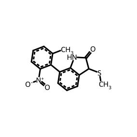 CSC1C(=O)Nc2c(-c3c(C)cccc3[N+](=O)[O-])cccc21